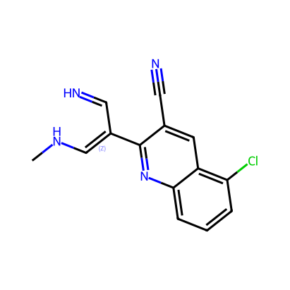 CN/C=C(\C=N)c1nc2cccc(Cl)c2cc1C#N